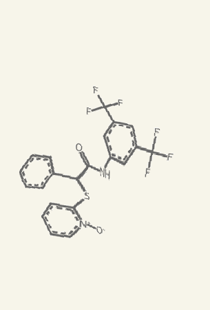 O=C(Nc1cc(C(F)(F)F)cc(C(F)(F)F)c1)C(Sc1cccc[n+]1[O-])c1ccccc1